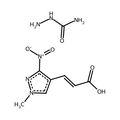 Cn1cc(C=CC(=O)O)c([N+](=O)[O-])n1.NNC(N)=O